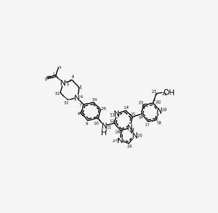 C=C(C)N1CCN(c2ccc(Nc3ncc(-c4ccnc(CO)c4)n4ncnc34)cc2)CC1